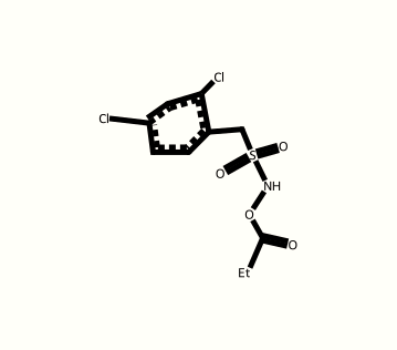 CCC(=O)ONS(=O)(=O)Cc1ccc(Cl)cc1Cl